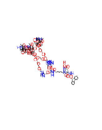 CC(=O)N[C@H]1[C@H]2OC[C@](COCCOCCOCCOCCn3cc(COCC(COCc4cn(CCOCCOCCOCCOC[C@@]56CO[C@@H](O5)[C@H](NC(C)=O)[C@H]5OC(C)(C)O[C@H]56)nn4)(COCc4cn(CCOCCOCCOCCOC[C@@]56CO[C@@H](O5)[C@H](NC(C)=O)[C@H]5OC(C)(C)O[C@H]56)nn4)NC(=O)CCCCCNC(=O)[C@H](CCC(=O)O)NC(=O)OCC4c5ccccc5-c5ccccc54)nn3)(O2)[C@@H]2OC(C)(C)O[C@H]12